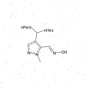 CCCCCCC(CCCCC)c1cnn(C)c1/C=N/O